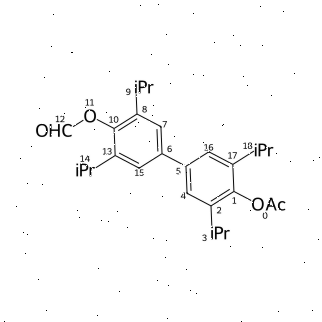 CC(=O)Oc1c(C(C)C)cc(-c2cc(C(C)C)c(OC=O)c(C(C)C)c2)cc1C(C)C